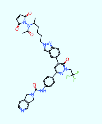 CC(=O)N(C(C)CCCCn1cc2cc(-c3cc(-c4ccc(NC(=O)N5Cc6ccncc6C5)cc4)nn(CC(F)(F)F)c3=O)ccc2n1)N1C(=O)C=CC1=O